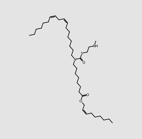 CCCCCC/C=C\C/C=C\CCCCCCCN(CCCCCCCC(=O)OC/C=C\CCCCCC)C(=O)SCCNC